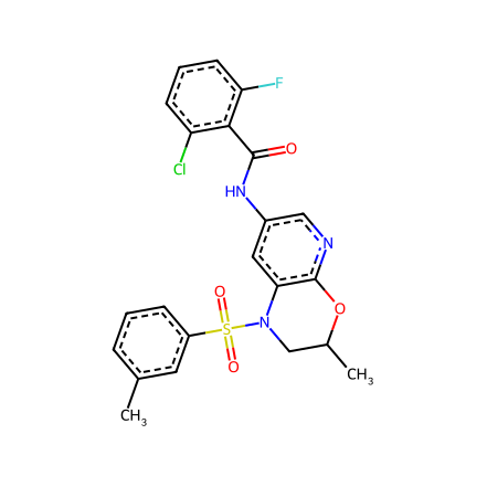 Cc1cccc(S(=O)(=O)N2CC(C)Oc3ncc(NC(=O)c4c(F)cccc4Cl)cc32)c1